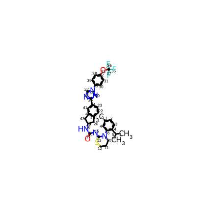 Cc1ccc(C(C)C)c(N2CCCSC2=NC(=O)NC2Cc3ccc(-c4ncn(-c5ccc(OC(F)(F)F)cc5)n4)cc3C2)c1